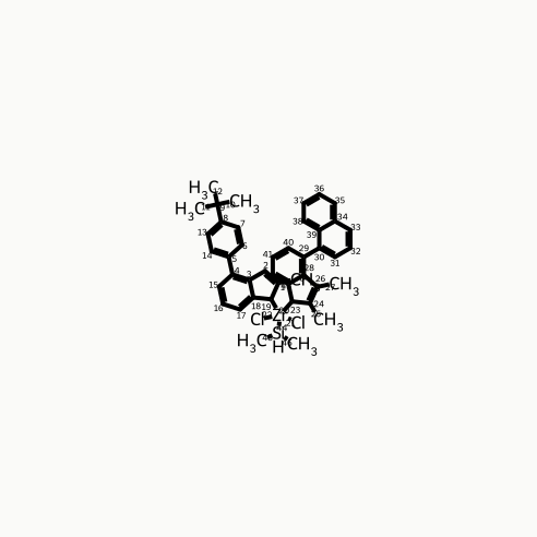 CC1=Cc2c(-c3ccc(C(C)(C)C)cc3)cccc2[CH]1[Zr]([Cl])([Cl])([CH]1C(C)=C(C)c2c(-c3cccc4ccccc34)cccc21)[SiH](C)C